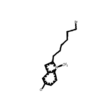 Cn1c(CCCCCCBr)cc2cc(Cl)ccc21